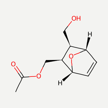 CC(=O)OC[C@H]1[C@@H](CO)[C@@H]2C=C[C@H]1O2